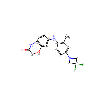 Cc1cc(N2CC(F)(F)C2)ccc1Nc1ccc2c(c1)OCC(=O)N2